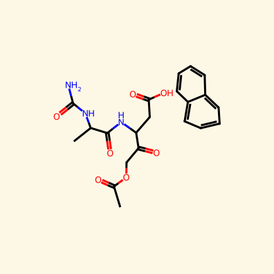 CC(=O)OCC(=O)C(CC(=O)O)NC(=O)C(C)NC(N)=O.c1ccc2ccccc2c1